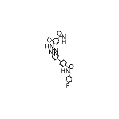 CNC(=O)c1ccc(Nc2nc3ccc(-c4ccc(C(=O)NCc5ccc(F)cc5)cc4)cn3n2)c(OC)c1